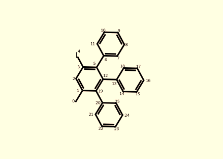 Cc1cc(I)c(-c2ccccc2)c(-c2ccccc2)c1-c1ccccc1